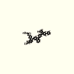 CCCCC(CC)Cc1ccc2c(c1)c1cc(CC(CC)CCCC)ccc1n2-c1ccc2c(c1)c1ccccc1n2-c1ccc(-n2c3ccc(-c4ccccc4)cc3c3cc[nH]c32)cc1